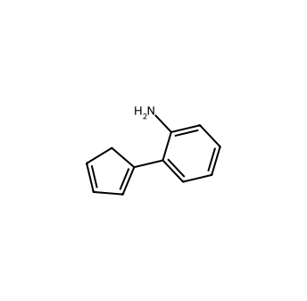 Nc1ccccc1C1=CC=CC1